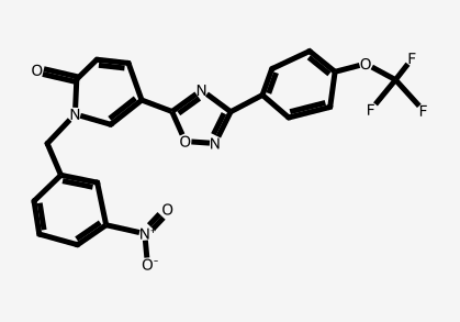 O=c1ccc(-c2nc(-c3ccc(OC(F)(F)F)cc3)no2)cn1Cc1cccc([N+](=O)[O-])c1